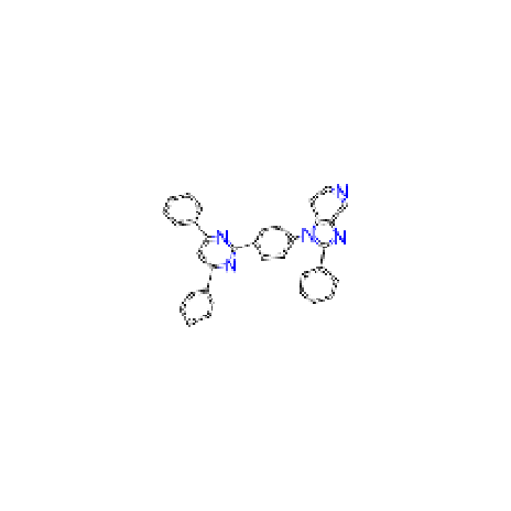 c1ccc(-c2cc(-c3ccccc3)nc(-c3ccc(-n4c(-c5ccccc5)nc5cnccc54)cc3)n2)cc1